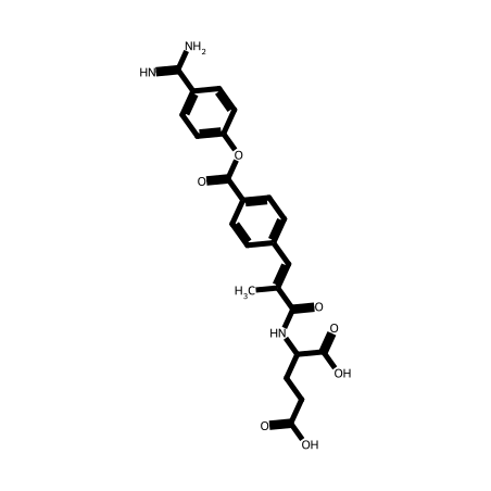 C/C(=C\c1ccc(C(=O)Oc2ccc(C(=N)N)cc2)cc1)C(=O)NC(CCC(=O)O)C(=O)O